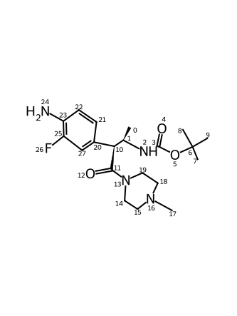 C[C@@H](NC(=O)OC(C)(C)C)[C@@H](C(=O)N1CCN(C)CC1)c1ccc(N)c(F)c1